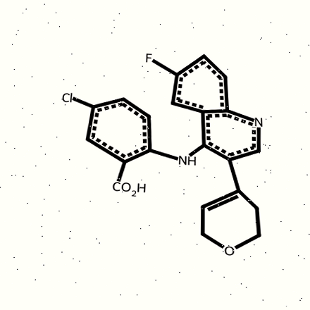 O=C(O)c1cc(Cl)ccc1Nc1c(C2=CCOCC2)cnc2ccc(F)cc12